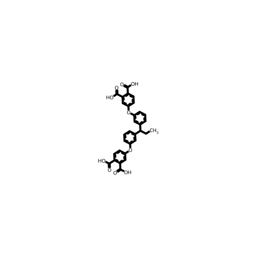 CCC(c1cccc(Oc2ccc(C(=O)O)c(C(=O)O)c2)c1)c1cccc(Oc2ccc(C(=O)O)c(C(=O)O)c2)c1